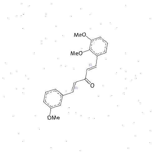 COc1cccc(/C=C/C(=O)/C=C/c2cccc(OC)c2OC)c1